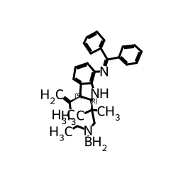 BN(CC)CC(C)(C)[C@@H]1Nc2c(N=C(c3ccccc3)c3ccccc3)cccc2[C@@H]1C(=C)C